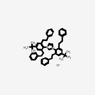 CC(C)(C)c1cc(CCc2ccccc2)c(-n2cc[n+](-c3c(CCc4ccccc4)cc(C(C)(C)C)cc3CCc3ccccc3)c2)c(CCc2ccccc2)c1.[Cl-]